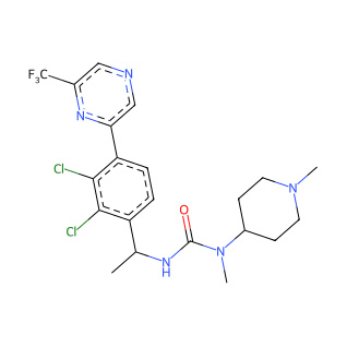 CC(NC(=O)N(C)C1CCN(C)CC1)c1ccc(-c2cncc(C(F)(F)F)n2)c(Cl)c1Cl